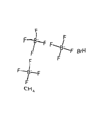 Br.C.F[B-](F)(F)F.F[B-](F)(F)F.F[B-](F)(F)F